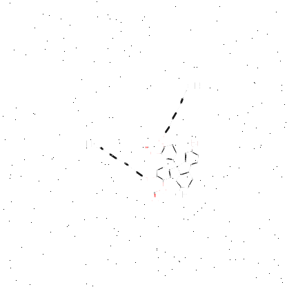 C#CC#CC#CC#COc1ccc(C2(c3ccc(OC#CC#CC#CC#C)c(OC=O)c3)c3cc(C)ccc3-c3ccc(Br)cc32)cc1OC=O